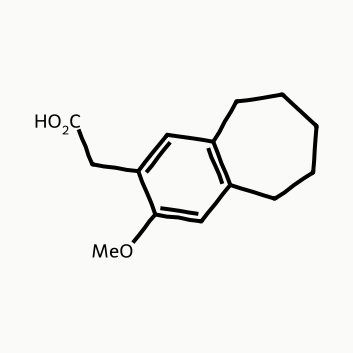 COc1cc2c(cc1CC(=O)O)CCCCC2